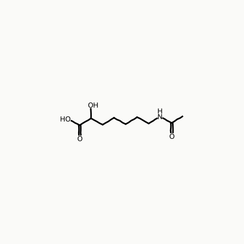 CC(=O)NCCCCCC(O)C(=O)O